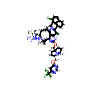 C#Cc1c(F)ccc2cccc(-c3nc4c5c(nc(OC[C@@]67CCCN6[C@H](COc6cc(C(F)(F)F)ncn6)CC7)nc5c3F)C3C[C@@H]3N[C@@H](C(C)N)CCC4)c12